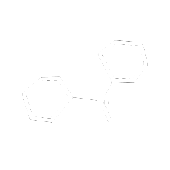 [O]=[Sn]([c]1ccccc1)[c]1ccccc1